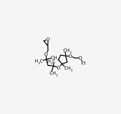 CCOCOC1(C)CCC(C)(OC(C)(C)CC(C)(C)OCC2CO2)C1